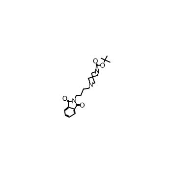 CC(C)(C)OC(=O)N1CC2(CN(CCCCN3C(=O)c4ccccc4C3=O)C2)C1